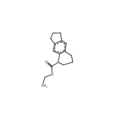 CCOC(=O)N1CCCc2cc3c(cc21)CCC3